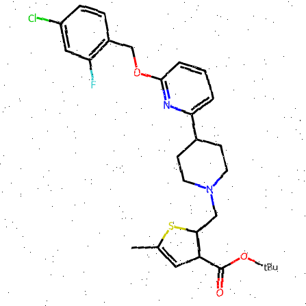 CC1=CC(C(=O)OC(C)(C)C)C(CN2CCC(c3cccc(OCc4ccc(Cl)cc4F)n3)CC2)S1